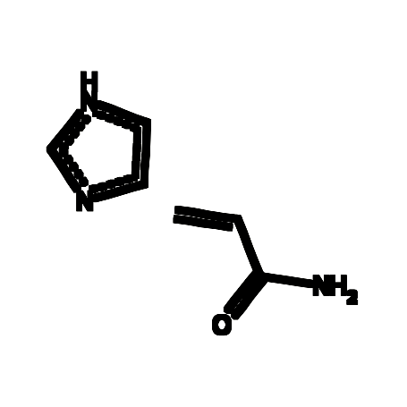 C=CC(N)=O.c1c[nH]cn1